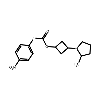 O=C(Oc1ccc([N+](=O)[O-])cc1)OC1CC(N2CCCC2C(F)(F)F)C1